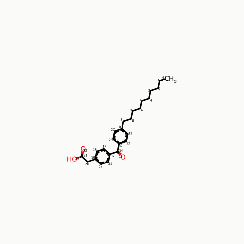 CCCCCCCCCCc1ccc(C(=O)c2ccc(CC(=O)O)cc2)cc1